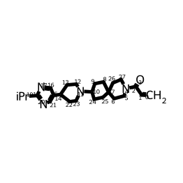 C=CC(=O)N1CCC2(CCC(N3CCC(c4cnc(C(C)C)nc4)CC3)CC2)CC1